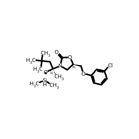 C[SiH](C)O[C@@](C)(CC(C)(C)C)N1C[C@H](COc2cccc(Cl)c2)OC1=O